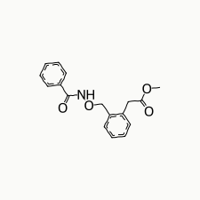 COC(=O)Cc1ccccc1CONC(=O)c1ccccc1